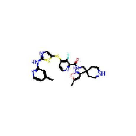 Cc1ccnc(Nc2ncc(Sc3ccnc(C(=O)NCC4(c5cc(C)on5)CCNCC4)c3F)s2)c1